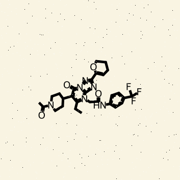 CCc1c(C2CCN(C(C)=O)CC2)c(=O)n2nc(C3=CCCCO3)nc2n1CC(=O)Nc1ccc(C(F)(F)F)cc1